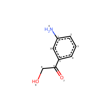 Nc1cccc(C(=O)CO)c1